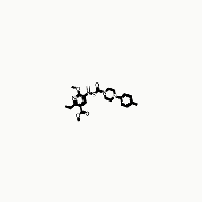 CCc1nc(OC)c(NSC(=O)N2CCN(c3ccc(C)cc3)CC2)cc1C(=O)OC